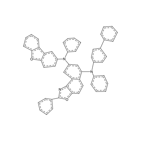 c1ccc(-c2ccc(N(c3ccccc3)c3cc(N(c4ccccc4)c4ccc5oc6ccccc6c5c4)cc4c3ccc3oc(-c5ccccc5)nc34)cc2)cc1